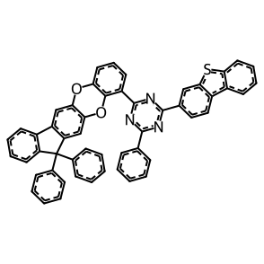 c1ccc(-c2nc(-c3ccc4c(c3)sc3ccccc34)nc(-c3cccc4c3Oc3cc5c(cc3O4)-c3ccccc3C5(c3ccccc3)c3ccccc3)n2)cc1